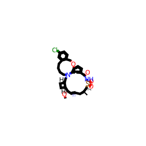 CO[C@@H]1/C=C/C[C@H](C)[C@@H](C)S(=O)(=O)NC(=O)c2ccc3c(c2)N(CCCCc2cc(Cl)ccc2CO3)C[C@@H]2CC[C@H]21